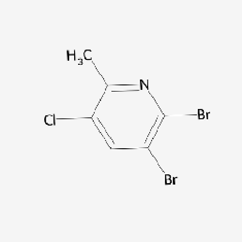 Cc1nc(Br)c(Br)cc1Cl